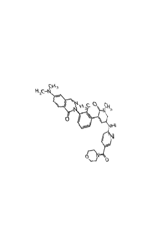 Cc1c(C2=CC(Nc3ccc(C(=O)N4CCOCC4)cn3)CN(C)C2=O)cccc1-n1ncc2cc(N(C)C)ccc2c1=O